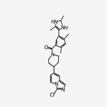 CC1=C(c2cc(C(=O)N3CCC(c4ccn5c(Cl)ncc5c4)CC3)c(C)cc2C)NC(C)N1